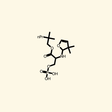 CCCC(C)(C)COC(=O)C(COP(=O)(O)O)NC1OC=CC1(C)C